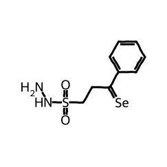 NNS(=O)(=O)CCC(=[Se])c1ccccc1